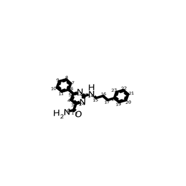 NC(=O)c1cc(-c2ccccc2)nc(NCCCc2ccccc2)n1